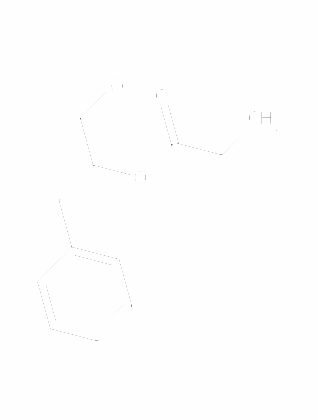 C=CC(=O)OC(C=O)Cc1ccccc1